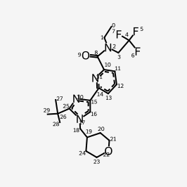 CCN(CC(F)(F)F)C(=O)c1cccc(-c2cn(CC3CCOCC3)c(C(C)(C)C)n2)n1